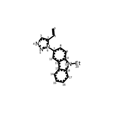 C=Cc1cnnn1-c1ccc2c(c1)c1ccccc1n2CC